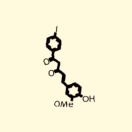 COc1cc(C=CC(=O)CC(=O)c2ccc(I)cc2)ccc1O